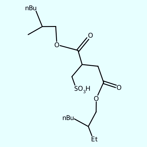 CCCCC(C)COC(=O)C(CC(=O)OCC(CC)CCCC)CS(=O)(=O)O